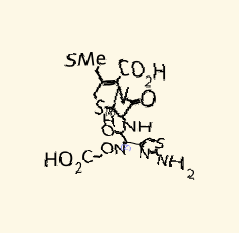 CSCC1=C(C(=O)O)N2C(=O)C(NC(=O)/C(=N\OCC(=O)O)c3csc(N)n3)[C@H]2SC1